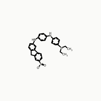 CCN(CC)c1ccc(Nc2ccc(Nc3ccc4c(c3)-c3ccc([N+](=O)[O-])cc3C4)cc2)cc1